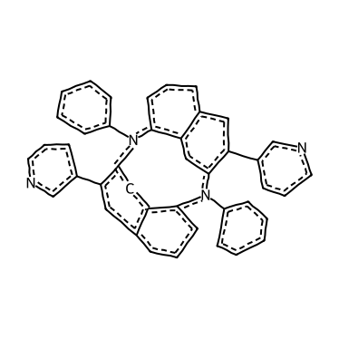 c1ccc(-n2c3cc4c(cccc4n(-c4ccccc4)c4cc5c(cccc52)cc4-c2cccnc2)cc3-c2cccnc2)cc1